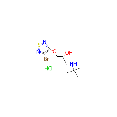 CC(C)(C)NCC(O)COc1nsnc1Br.Cl